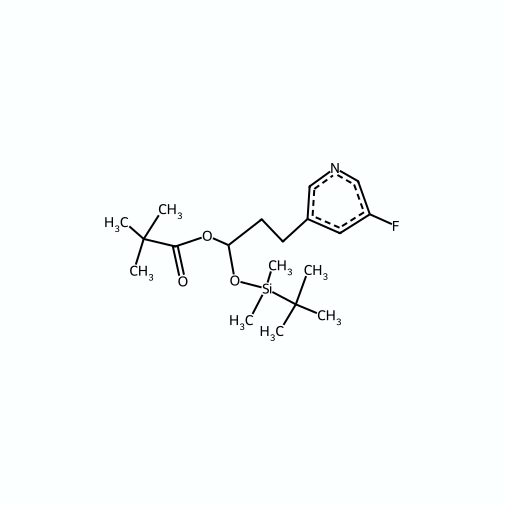 CC(C)(C)C(=O)OC(CCc1cncc(F)c1)O[Si](C)(C)C(C)(C)C